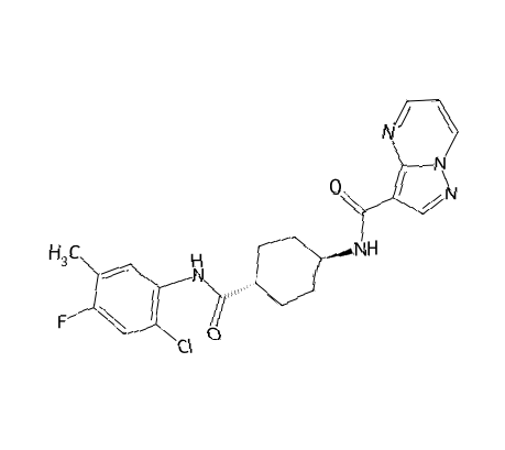 Cc1cc(NC(=O)[C@H]2CC[C@H](NC(=O)c3cnn4cccnc34)CC2)c(Cl)cc1F